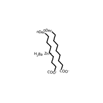 CCCCCCCCCCCCCCCCCC(=O)[O-].CCCCCCCCCCCCCCCCCC(=O)[O-].[BaH2].[Zn+2]